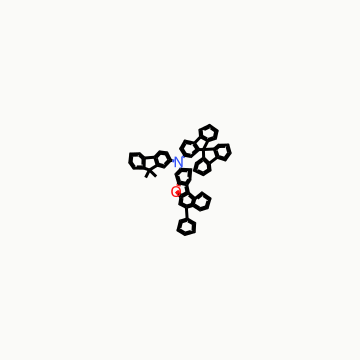 CC1(C)c2ccccc2-c2ccc(N(c3ccc4c(c3)C3(c5ccccc5-c5ccccc53)c3ccccc3-4)c3ccc4c(c3)oc3cc(-c5ccccc5)c5ccccc5c34)cc21